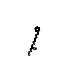 O=NOCC(O)COCCCCCCc1ccccc1